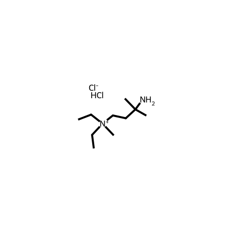 CC[N+](C)(CC)CCC(C)(C)N.Cl.[Cl-]